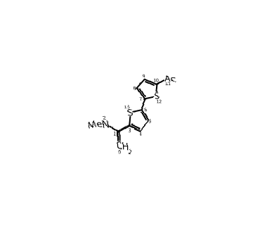 C=C(NC)c1ccc(-c2ccc(C(C)=O)s2)s1